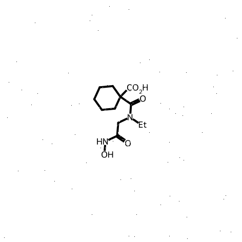 CCN(CC(=O)NO)C(=O)C1(C(=O)O)CCCCC1